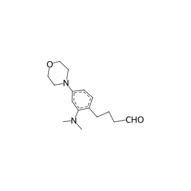 CN(C)c1cc(N2CCOCC2)ccc1CCCC=O